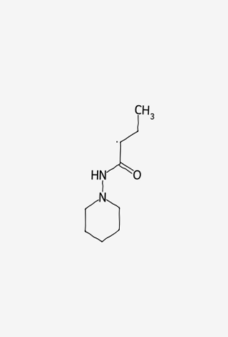 CC[CH]C(=O)NN1CCCCC1